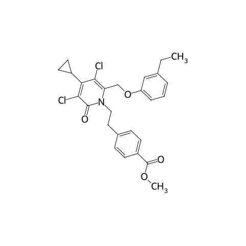 CCc1cccc(OCc2c(Cl)c(C3CC3)c(Cl)c(=O)n2CCc2ccc(C(=O)OC)cc2)c1